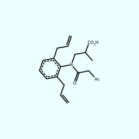 C=CCc1cccc(CC=C)c1N(CC(C)C(=O)O)C(=O)CC(C)=O